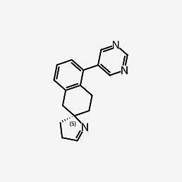 C1=N[C@]2(CC1)CCc1c(cccc1-c1cncnc1)C2